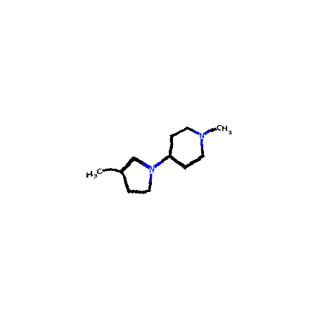 CC1CCN(C2CCN(C)CC2)C1